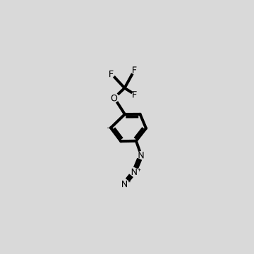 [N-]=[N+]=Nc1c[c]c(OC(F)(F)F)cc1